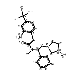 CN(C(=O)Cc1ccc(C(F)(F)F)cc1N)C(CN1CC[C@H](O)C1)c1ccccc1